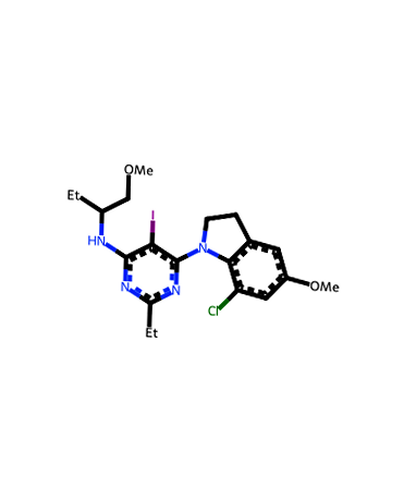 CCc1nc(NC(CC)COC)c(I)c(N2CCc3cc(OC)cc(Cl)c32)n1